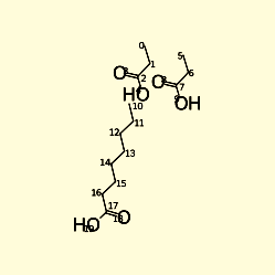 CCC(=O)O.CCC(=O)O.CCCCCCCC(=O)O